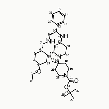 CCO[C@H]1CC[C@H](CNC[C@H](NC2CCN(C3(C)CCN(C(=O)OC(C)(C)C)CC3)CC2)c2ccccc2)CC1